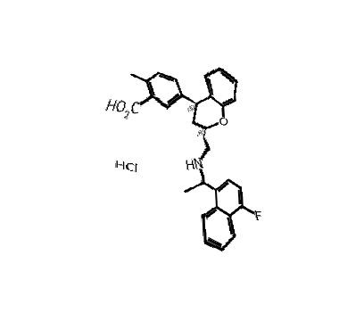 Cc1ccc([C@@H]2C[C@H](CNC(C)c3ccc(F)c4ccccc34)Oc3ccccc32)cc1C(=O)O.Cl